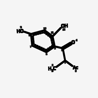 CC(=O)C(C)C(=O)c1ccc(O)cc1O